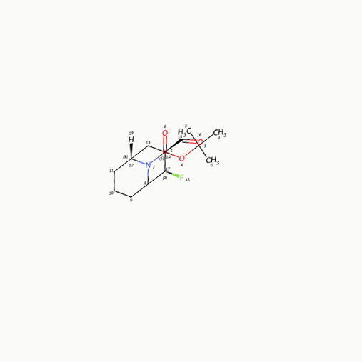 CC(C)(C)OC(=O)N1C2CCC[C@@H]1C[C@@H](C=O)[C@H]2F